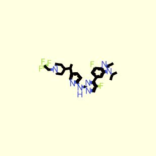 Cc1nc2c(F)cc(-c3nc(Nc4ccc(C(C)C5CCN(CC(F)(F)F)CC5)cn4)ncc3F)cc2n1C(C)C